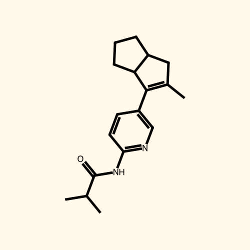 CC1=C(c2ccc(NC(=O)C(C)C)nc2)C2CCCC2C1